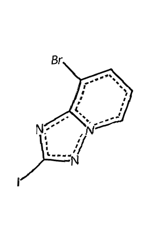 Brc1cccn2nc(I)nc12